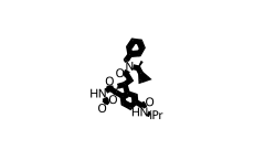 CC(C)NC(=O)c1ccc2c(c1)C(CC(=O)N(Cc1ccccc1)[C@@H](C)C1CC1)C[C@@]21OC(=O)NC1=O